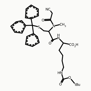 CN(C(=O)CC#N)C(CSC(c1ccccc1)(c1ccccc1)c1ccccc1)C(=O)NC(CCCCNC(=O)OC(C)(C)C)C(=O)O